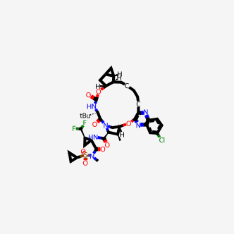 C[C@@H]1[C@@H]2CN(C(=O)[C@H](C(C)(C)C)NC(=O)O[C@@H]3CC4C[C@@H]4[C@H]3CCCCCc3nc4ccc(Cl)cc4nc3O2)[C@@H]1C(=O)N[C@]1(C(=O)N(C)S(=O)(=O)C2CC2)C[C@H]1C(F)F